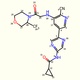 N#Cc1ncc(-c2cnc(NC(=O)C3CC3)cn2)cc1NCC(=O)N1CCOCC1C(F)(F)F